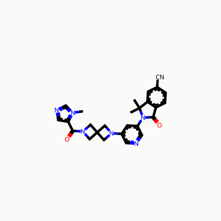 Cn1cncc1C(=O)N1CC2(C1)CN(c1cncc(N3C(=O)c4ccc(C#N)cc4C3(C)C)c1)C2